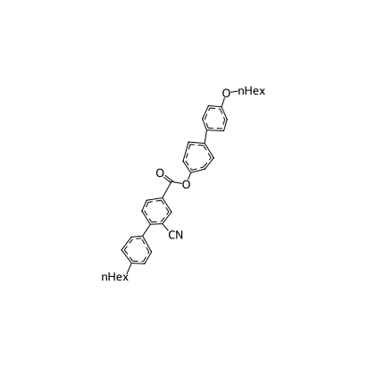 CCCCCCOc1ccc(-c2ccc(OC(=O)c3ccc(-c4ccc(CCCCCC)cc4)c(C#N)c3)cc2)cc1